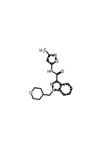 Cc1cc(NC(=O)c2nn(CC3CCOCC3)c3ccccc23)on1